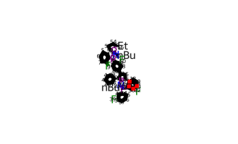 CCCCN(P(c1ccccc1F)c1ccc(C2C[C@@H](c3ccccc3)P(N(CCCC)P(c3cccc(F)c3)c3cccc(F)c3)[C@@H]2c2ccccc2)cc1F)P1CCC[C@H]1CC